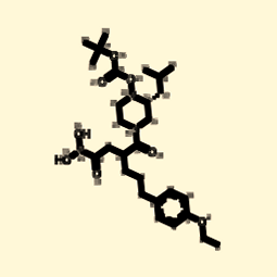 CCOc1ccc(CCCC(CC(=O)N(O)O)C(=O)N2CCN(OC(=O)OC(C)(C)C)[C@H](CC(C)C)C2)cc1